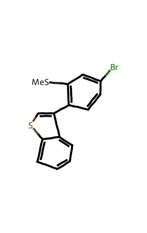 CSc1cc(Br)ccc1-c1csc2ccccc12